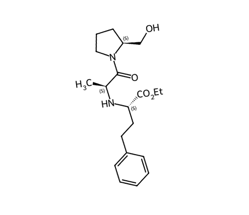 CCOC(=O)[C@H](CCc1ccccc1)N[C@@H](C)C(=O)N1CCC[C@H]1CO